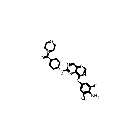 Nc1c(Cl)cc(Nc2ncnc3cnc(N[C@H]4CC[C@H](C(=O)N5CCOCC5)CC4)nc23)cc1Cl